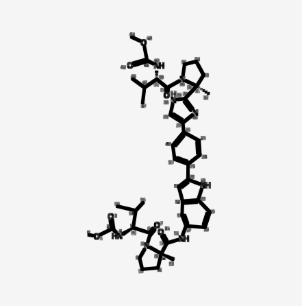 COC(=O)N[C@H](C(=O)N1CCC[C@@]1(C)C(=O)Nc1ccc2[nH]c(-c3ccc(-c4c[nH]c([C@]5(C)CCCN5C(=O)[C@@H](NC(=O)OC)C(C)C)n4)cc3)cc2c1)C(C)C